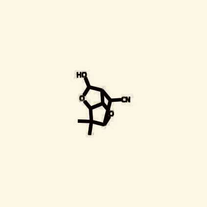 CC1(C)C2OC3C(C(O)OC31)C2C#N